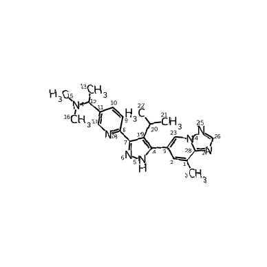 Cc1cc(-c2[nH]nc(-c3ccc(C(C)N(C)C)cn3)c2C(C)C)cn2ncnc12